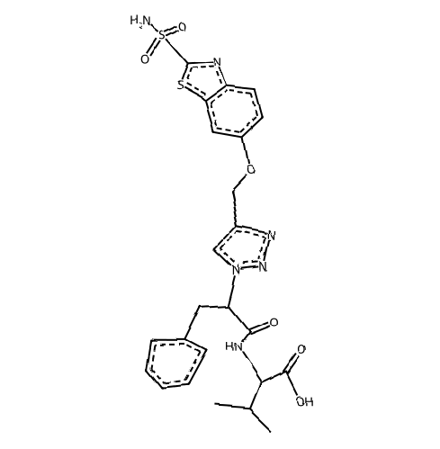 CC(C)C(NC(=O)C(Cc1ccccc1)n1cc(COc2ccc3nc(S(N)(=O)=O)sc3c2)nn1)C(=O)O